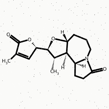 CC1=C[C@@H]([C@H]2O[C@@H]3CCCN4C(=O)CC[C@H]4[C@H]3[C@@H]2C)OC1=O